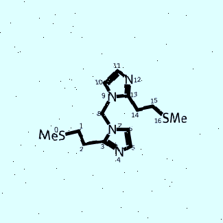 CSCCc1nccn1Cn1ccnc1CCSC